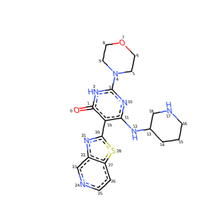 O=c1[nH]c(N2CCOCC2)nc(NC2CCCNC2)c1-c1nc2cnccc2s1